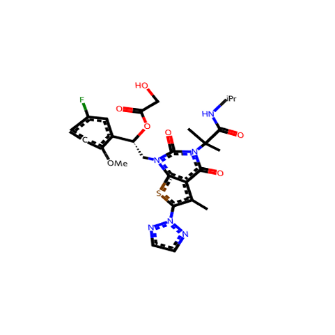 COc1ccc(F)cc1[C@@H](Cn1c(=O)n(C(C)(C)C(=O)NC(C)C)c(=O)c2c(C)c(-n3nccn3)sc21)OC(=O)CO